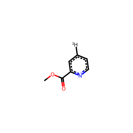 [2H]c1ccnc(C(=O)OC)c1